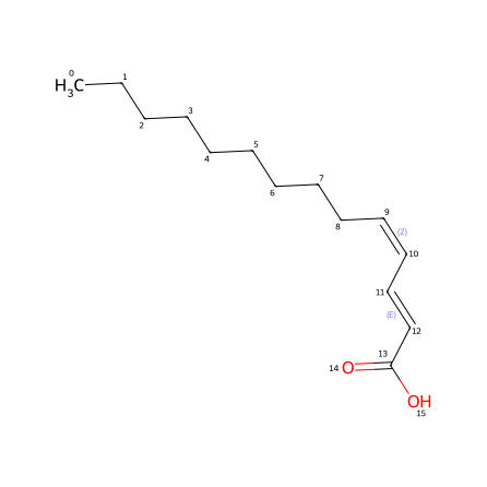 CCCCCCCCC/C=C\C=C\C(=O)O